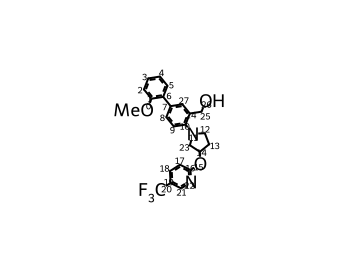 COc1ccccc1-c1ccc(N2CCC(Oc3ccc(C(F)(F)F)cn3)C2)c(CO)c1